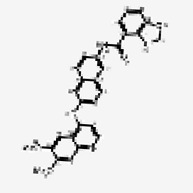 COc1cc2nccc(Oc3ccc4cc(NC(=O)c5cccc6c5OCO6)ccc4c3)c2cc1OC